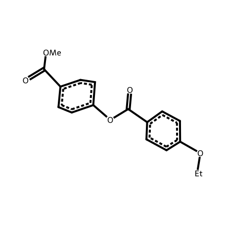 CCOc1ccc(C(=O)Oc2ccc(C(=O)OC)cc2)cc1